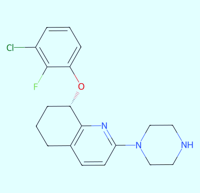 Fc1c(Cl)cccc1O[C@H]1CCCc2ccc(N3CCNCC3)nc21